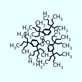 CCCC(CCC)(CCC)c1ccc(OP(Oc2ccc(C(CCC)(CCC)CCC)cc2C(CCC)(CCC)CCC)Oc2ccc(C(CCC)(CCC)CCC)cc2C(CCC)(CCC)CCC)c(C(CCC)(CCC)CCC)c1